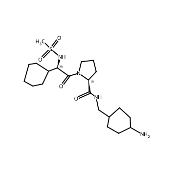 CS(=O)(=O)N[C@@H](C(=O)N1CCC[C@H]1C(=O)NCC1CCC(N)CC1)C1CCCCC1